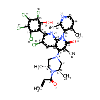 C=CC(=O)N1[C@H](C)CN(c2c(C#N)c(=O)n(-c3c(C)ccnc3C(C)C)c3nc(-c4c(O)c(Cl)c(Cl)c(Cl)c4Cl)c(Cl)cc23)C[C@@H]1C